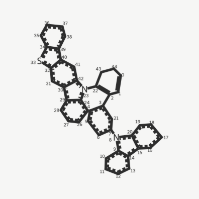 C1=CC(c2cccc(-n3c4ccccc4c4ccccc43)c2)=C(n2c3ccccc3c3cc4sc5ccccc5c4cc32)CC1